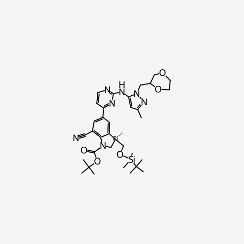 Cc1cc(Nc2nccc(-c3cc(C#N)c4c(c3)[C@@](C)(CO[Si](C)(C)C(C)(C)C)CN4C(=O)OC(C)(C)C)n2)n(CC2COCCO2)n1